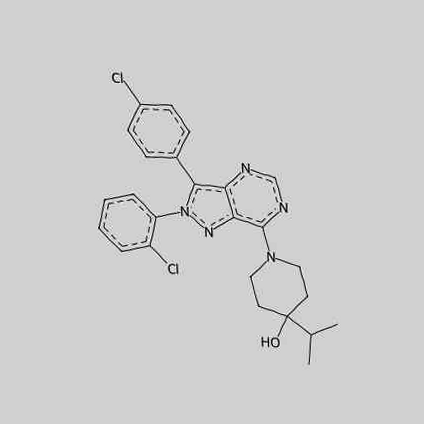 CC(C)C1(O)CCN(c2ncnc3c(-c4ccc(Cl)cc4)n(-c4ccccc4Cl)nc23)CC1